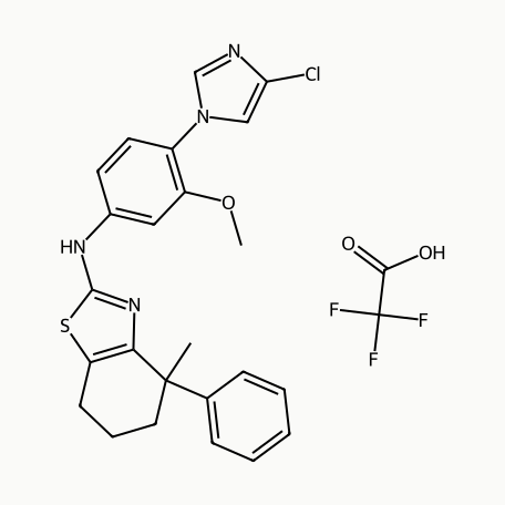 COc1cc(Nc2nc3c(s2)CCCC3(C)c2ccccc2)ccc1-n1cnc(Cl)c1.O=C(O)C(F)(F)F